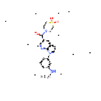 CCOC(=O)Nc1cccc(-n2ccc3cc(C(=O)N4CCS(=O)(=O)CC4)cnc32)c1